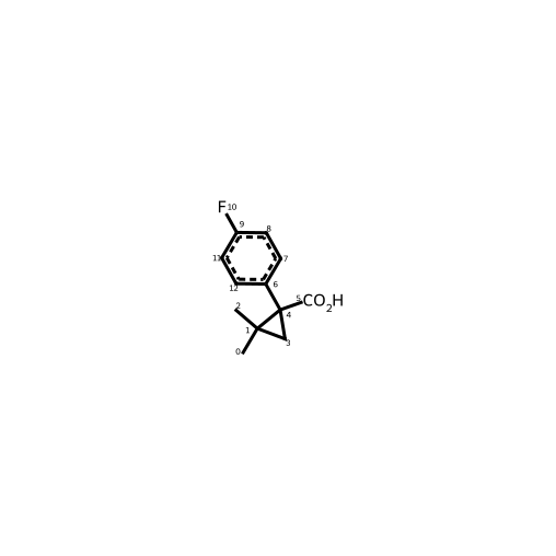 CC1(C)CC1(C(=O)O)c1ccc(F)cc1